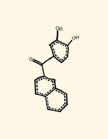 O=C(c1ccc(O)c(O)c1)c1ccc2ccccc2c1